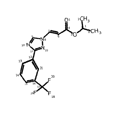 CC(C)OC(=O)C=Cn1cnc(-c2cccc(C(F)(F)F)c2)n1